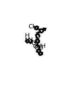 O=C(NS(=O)(=O)c1ccc2ccccc2c1)c1ccc(N2CCN(CC3=C(c4ccc(Cl)cc4)CC4(CCC4)CC3)CC2)cc1Oc1cnc2[nH]ccc2c1